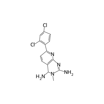 CN1C(N)=Nc2nc(-c3ccc(Cl)cc3Cl)ccc2C1N